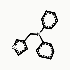 c1ccc(N(Cc2ccsc2)c2ccccc2)cc1